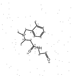 Cc1ccccc1CN(C)C(C)CC(=O)NCC=O